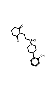 Cl.O=C1CCCC(=O)N1CCCN1CCN(c2ccccc2O)CC1